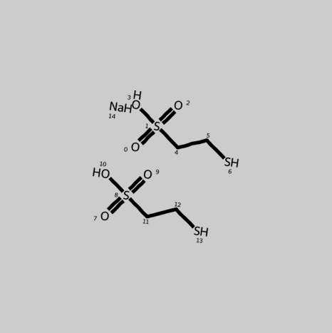 O=S(=O)(O)CCS.O=S(=O)(O)CCS.[NaH]